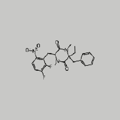 CCC1(Cc2ccccc2)C(=O)N(C)C(Cc2c([N+](=O)[O-])ccc(F)c2F)C(=O)N1C